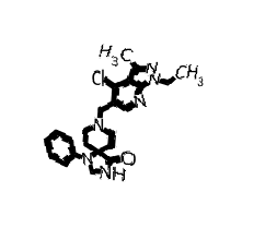 CCn1nc(C)c2c(Cl)c(CN3CCC4(CC3)C(=O)NCN4c3ccccc3)cnc21